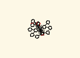 c1ccc(-c2cccc(N3c4cc(-c5ccccc5)c(-c5ccccc5)cc4N(c4cccc(-c5ccccc5)n4)[Si]34N(c3cccc(-c5ccccc5)n3)c3cc(-c5ccccc5)c(-c5ccccc5)cc3N4c3cccc(-c4ccccc4)n3)n2)cc1